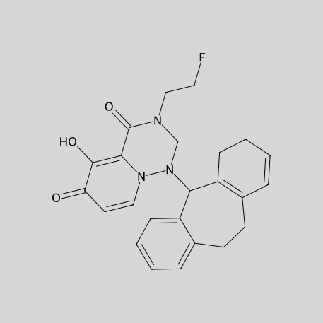 O=C1c2c(O)c(=O)ccn2N(C2C3=C(C=CCC3)CCc3ccccc32)CN1CCF